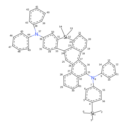 C[Si](C)(C)c1ccc(N(c2ccccc2)c2cc3c4cccc5c4c(cc3c3ccccc23)-c2ccc(N(c3ccccc3)c3ccccc3)cc2[Si]5(C)C)cc1